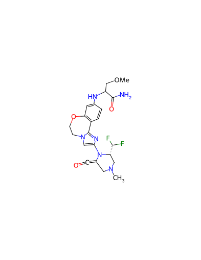 COCC(Nc1ccc2c(c1)OCCn1cc(N3C(=C=O)CN(C)C[C@H]3C(F)F)nc1-2)C(N)=O